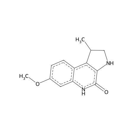 COc1ccc2c3c(c(=O)[nH]c2c1)NCC3C